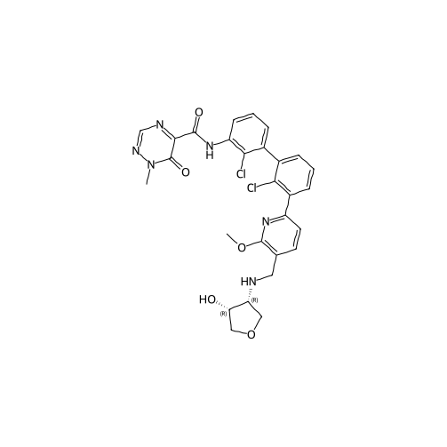 COc1nc(-c2cccc(-c3cccc(NC(=O)c4ncnn(C)c4=O)c3Cl)c2Cl)ccc1CN[C@@H]1COC[C@@H]1O